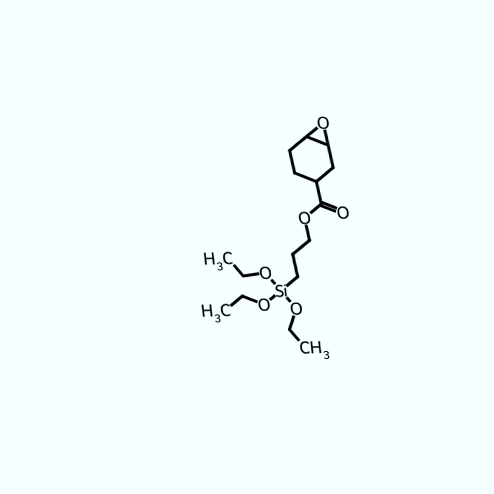 CCO[Si](CCCOC(=O)C1CCC2OC2C1)(OCC)OCC